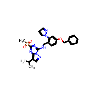 CC(C)c1cnn2c(NCc3ccc(OCc4ccccc4)cc3-n3cccn3)nc(S(C)(=O)=O)nc12